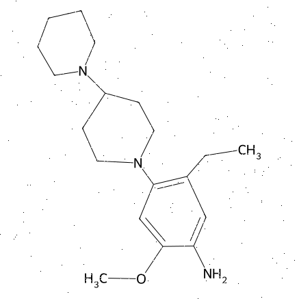 CCc1cc(N)c(OC)cc1N1CCC(N2CCCCC2)CC1